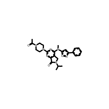 CC(=O)N1CCN(c2nc3c(c(N(C)c4cc(-c5ccccc5)no4)n2)CN(C(C)C)C3=O)CC1